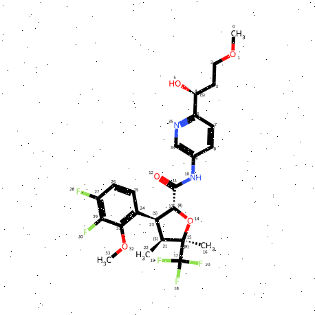 COCC[C@H](O)c1ccc(NC(=O)[C@@H]2O[C@@](C)(C(F)(F)F)[C@@H](C)[C@H]2c2ccc(F)c(F)c2OC)cn1